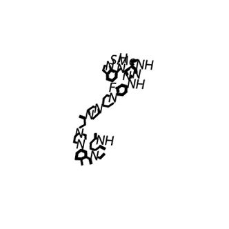 C=CN(C(=C)c1cc(N2CCN(CCC(=C)N3CCN(C4CCN(c5ccc(Nc6nc(Nc7cccc8c7N(SC)CC8)c7cc[nH]c7n6)cc5F)CC4)CC3)CC2)ccc1C)C1CCC(=C)NC1=C